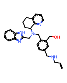 C=CCNCc1ccc(CN(Cc2nc3ccccc3[nH]2)C2CCCc3cccnc32)c(CO)c1